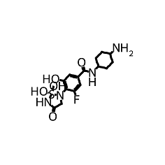 NC1CCC(NC(=O)c2cc(O)c(N3CC(=O)NS3(O)O)c(F)c2)CC1